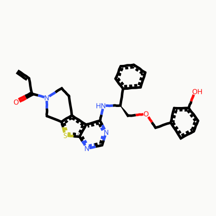 C=CC(=O)N1CCc2c(sc3ncnc(N[C@H](COCc4cccc(O)c4)c4ccccc4)c23)C1